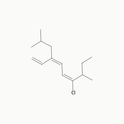 C=C/C(=C\C=C(\Cl)C(C)CC)CC(C)C